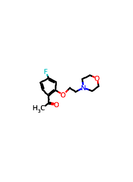 CC(=O)c1ccc(F)cc1OCCN1CCOCC1